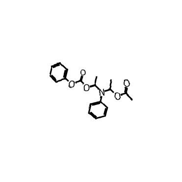 CC(=O)OC(C)N(c1ccccc1)C(C)OC(=O)Oc1ccccc1